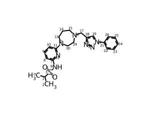 CC(C)S(=O)(=O)Nc1cccc(N2CCCN(Cc3cn(-c4ccccc4)nn3)CC2)n1